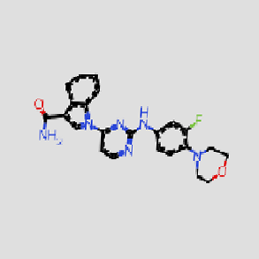 NC(=O)c1cn(-c2ccnc(Nc3ccc(N4CCOCC4)c(F)c3)n2)c2ccccc12